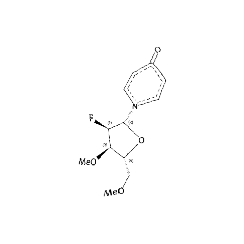 COC[C@H]1O[C@@H](n2ccc(=O)cc2)[C@H](F)[C@@H]1OC